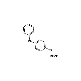 CCCCCCOc1ccc(Nc2ccccc2)cc1